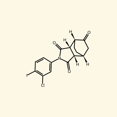 O=C1C[C@H]2CC[C@@H]1[C@H]1C(=O)N(c3ccc(I)c(Cl)c3)C(=O)[C@@H]21